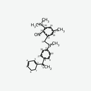 C=C(C1=CC=CCC1)c1ccc(N(C)Cc2cc(C)cc(N(C)C)c2N=O)cc1